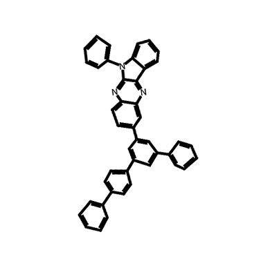 c1ccc(-c2ccc(-c3cc(-c4ccccc4)cc(-c4ccc5nc6c(nc5c4)c4ccccc4n6-c4ccccc4)c3)cc2)cc1